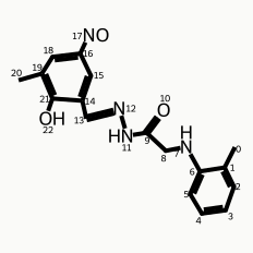 Cc1ccccc1NCC(=O)N/N=C/c1cc(N=O)cc(C)c1O